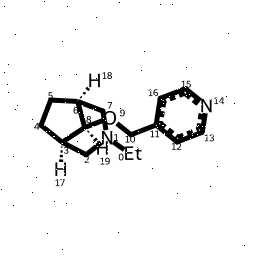 CCN1C[C@H]2CC[C@@H](C1)[C@H]2OCc1ccncc1